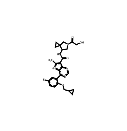 Cc1[nH]c2c(-c3cc(F)ccc3OCC3CC3)ncnc2c1C(=O)NC1CN(C(=O)CO)CC12CC2